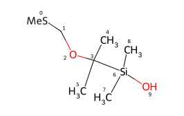 CSCOC(C)(C)[Si](C)(C)O